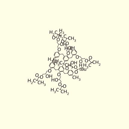 C=C(C)C(=O)OCC(O)COc1ccc(C)cc1Cc1cc(C(C)(C)c2cc(Cc3cc(C)ccc3OCC(O)COC(=O)C(=C)C)c(OCC(O)COC(=O)C(=C)C)c(Cc3cc(C)ccc3OCC(O)COC(=O)C(C)(C)C)c2)cc(Cc2cc(C)ccc2OCC(O)COC(=O)C(=C)C)c1OCC(O)COC(=O)C(=C)C